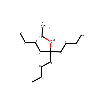 CCCCC(CCCC)(CCCC)O[CH2][SnH3]